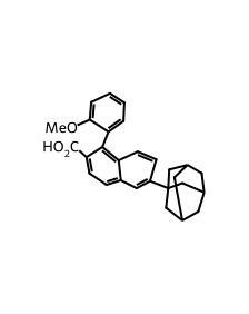 COc1ccccc1-c1c(C(=O)O)ccc2cc(C34CC5CC(CC(C5)C3)C4)ccc12